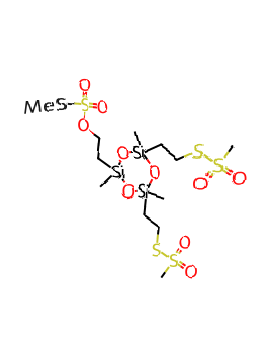 CSS(=O)(=O)OCC[Si]1(C)O[Si](C)(CCSS(C)(=O)=O)O[Si](C)(CCSS(C)(=O)=O)O1